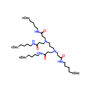 CCCCCCCCCCCCCCNC(=O)CCN(CCCN(CCC(=O)NCCCCCCCCCCCCCC)CCC(=O)NCCCCCCCCCCCCCC)CCC(=O)NCCCCCCCCCCCCCC